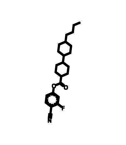 CCCCC1CCC(C2CCC(C(=O)Oc3ccc(C#N)c(F)c3)CC2)CC1